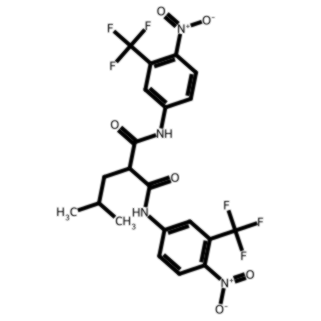 CC(C)CC(C(=O)Nc1ccc([N+](=O)[O-])c(C(F)(F)F)c1)C(=O)Nc1ccc([N+](=O)[O-])c(C(F)(F)F)c1